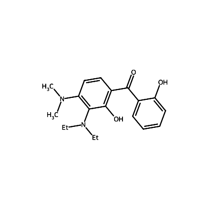 CCN(CC)c1c(N(C)C)ccc(C(=O)c2ccccc2O)c1O